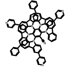 N#Cc1c(-n2c3ccccc3c3cc(-c4ccncc4)ccc32)c(-n2c3ccccc3c3cc(-c4ccccc4)ccc32)c(-n2c3ccccc3c3cc(-c4ccncc4)ccc32)c(-n2c3ccccc3c3cc(-c4ccccc4)ccc32)c1-n1c2ccccc2c2cc(-c3ccncc3)ccc21